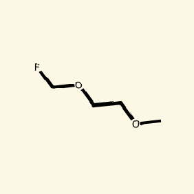 COCCOCF